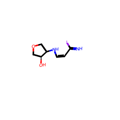 N=C(I)/C=C\NC1COC[C@@H]1O